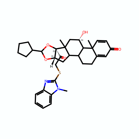 Cn1c(SCC(=O)[C@@]23OC(C4CCCC4)O[C@H]2CC2C4CCC5=CC(=O)C=CC5(C)C4[C@@H](O)CC23C)nc2ccccc21